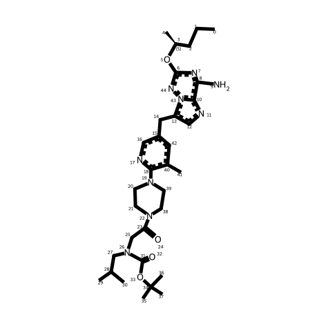 CCC[C@H](C)Oc1nc(N)c2ncc(Cc3cnc(N4CCN(C(=O)CN(CC(C)C)C(=O)OC(C)(C)C)CC4)c(C)c3)n2n1